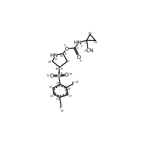 N#CC1(NC(=O)O[C@H]2C[C@@H](S(=O)(=O)c3ccc(F)cc3F)CN2)CC1